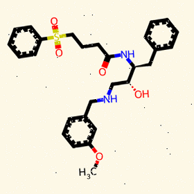 COc1cccc(CNC[C@@H](O)[C@H](Cc2ccccc2)NC(=O)CCCS(=O)(=O)c2ccccc2)c1